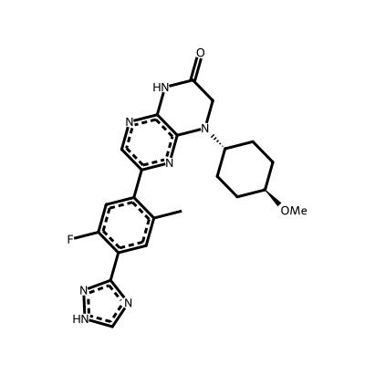 CO[C@H]1CC[C@H](N2CC(=O)Nc3ncc(-c4cc(F)c(-c5nc[nH]n5)cc4C)nc32)CC1